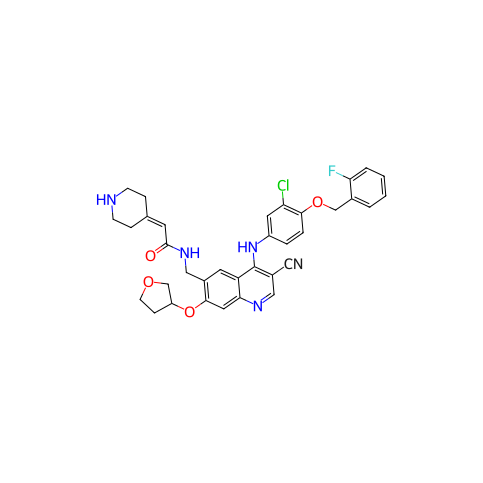 N#Cc1cnc2cc(OC3CCOC3)c(CNC(=O)C=C3CCNCC3)cc2c1Nc1ccc(OCc2ccccc2F)c(Cl)c1